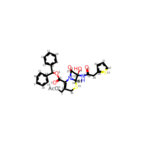 CC(=O)OCC1=C(C(=O)OC(c2ccccc2)c2ccccc2)N2C(=O)[C@](O)(NC(=O)Cc3cccs3)[C@H]2SC1